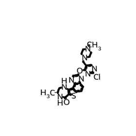 C[C@@H]1CNc2c(sc3ccc4nc(Oc5nc(Cl)ncc5CN5CCN(C)CC5)cnc4c23)C(=O)N1